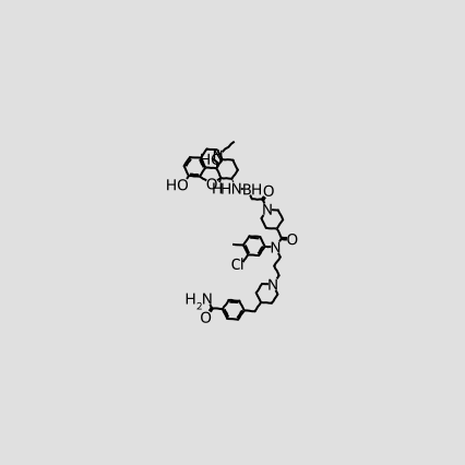 Cc1ccc(N(CCCN2CCC(Cc3ccc(C(N)=O)cc3)CC2)C(=O)C2CCN(C(=O)CBN[C@H]3CC[C@@]4(O)C5Cc6ccc(O)c7c6[C@@]4(CCN5C)[C@H]3O7)CC2)cc1Cl